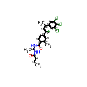 C[C@H](NC(=O)CCC(F)(F)F)NC(=O)c1ccc(/C(F)=C/C(c2cc(Cl)c(Cl)c(Cl)c2)C(F)(F)F)cc1C(F)(F)F